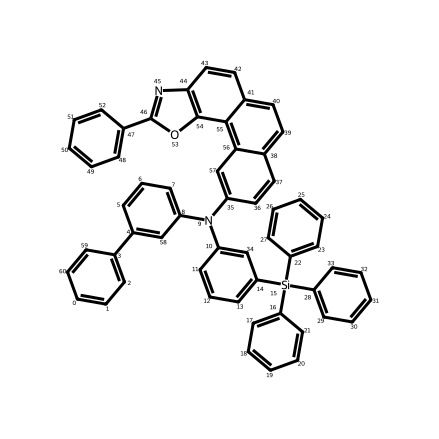 c1ccc(-c2cccc(N(c3cccc([Si](c4ccccc4)(c4ccccc4)c4ccccc4)c3)c3ccc4ccc5ccc6nc(-c7ccccc7)oc6c5c4c3)c2)cc1